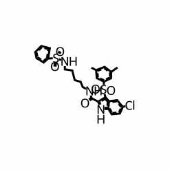 Cc1cc(C)cc(S(=O)(=O)c2c(C(=O)NCCCCCNS(=O)(=O)c3ccccc3)[nH]c3ccc(Cl)cc23)c1